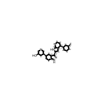 Oc1cncc(-c2ccc3[nH]nc(-c4cc5c(-c6cccc(F)c6)ccnc5[nH]4)c3c2)c1